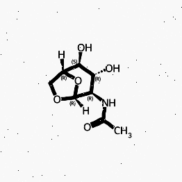 CC(=O)N[C@H]1[C@@H]2OC[C@@H](O2)[C@@H](O)[C@@H]1O